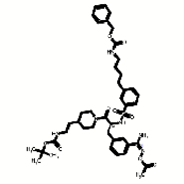 CC(=O)O/N=C(/N)c1cccc(C[C@H](NS(=O)(=O)c2cccc(CCCCNC(=O)OCc3ccccc3)c2)C(=O)N2CCC(CCNC(=O)OC(C)(C)C)CC2)c1